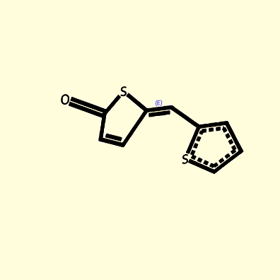 O=C1C=C/C(=C\c2cccs2)S1